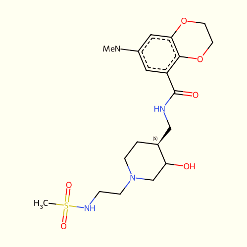 CNc1cc2c(c(C(=O)NC[C@@H]3CCN(CCNS(C)(=O)=O)CC3O)c1)OCCO2